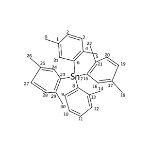 Cc1ccc(C)[c]([Sn]([c]2ccccc2C)([c]2cc(C)ccc2C)[c]2cc(C)ccc2C)c1